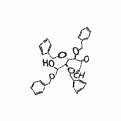 C#CC(=O)[C@H](OCc1ccccc1)[C@@H](OCc1ccccc1)[C@@H](OCc1ccccc1)[C@H](O)COCc1ccccc1